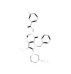 CCc1cccc(C(=O)Cn2cnc3c(C#N)c(N4CCC[C@H](N)C4)n(Cc4ccccc4)c3c2=O)c1